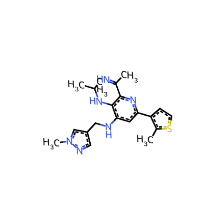 CC(=N)c1nc(-c2ccsc2C)cc(NCc2cnn(C)c2)c1NC(C)C